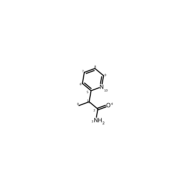 C[C](C(N)=O)c1ccccn1